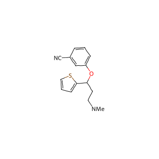 CNCCC(Oc1cccc(C#N)c1)c1cccs1